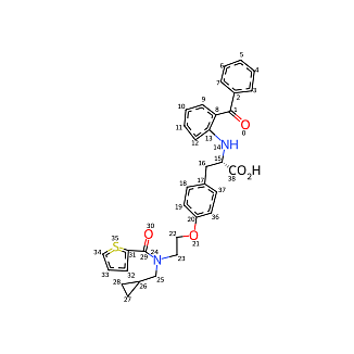 O=C(c1ccccc1)c1ccccc1N[C@@H](Cc1ccc(OCCN(CC2CC2)C(=O)c2cccs2)cc1)C(=O)O